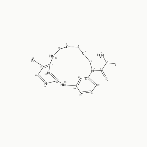 CC(N)C(=O)N1CCCCCNc2nc(ncc2Br)Nc2cccc1c2